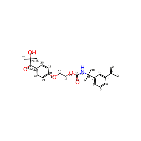 C=C(C)c1cccc(C(C)(C)NC(=O)OCCOc2ccc(C(=O)C(C)(C)O)cc2)c1